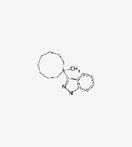 CC1(C2=N[N]c3ccccc32)CCCCCCCC1